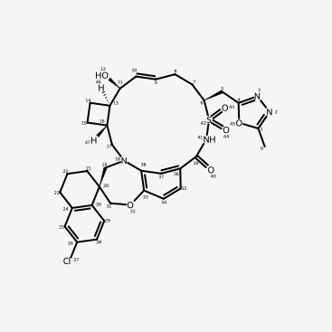 Cc1nnc(C[C@@H]2CC/C=C/[C@H](O)[C@@H]3CC[C@H]3CN3C[C@@]4(CCCc5cc(Cl)ccc54)COc4ccc(cc43)C(=O)NS2(=O)=O)o1